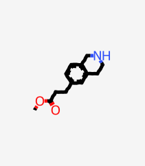 COC(=O)CCc1ccc2c(c1)CCNC2